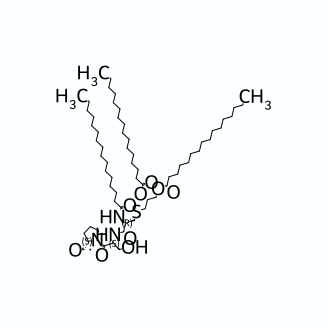 CCCCCCCCCCCCCCCC(=O)N[C@@H](CSCC(COC(=O)CCCCCCCCCCCCCCC)OC(=O)CCCCCCCCCCCCCCC)C(=O)N[C@@H](CO)C(=O)N1CCC[C@H]1[C]=O